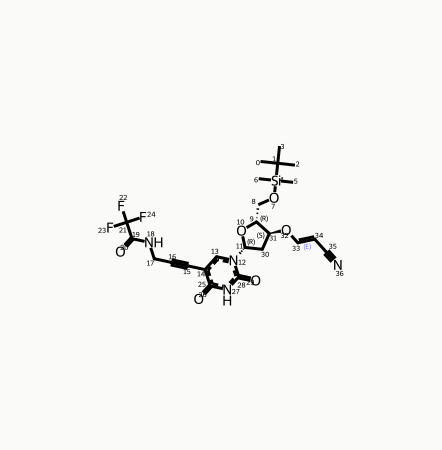 CC(C)(C)[Si](C)(C)OC[C@H]1O[C@@H](n2cc(C#CCNC(=O)C(F)(F)F)c(=O)[nH]c2=O)C[C@@H]1O/C=C/C#N